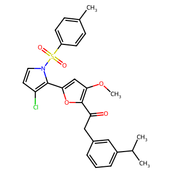 COc1cc(-c2c(Cl)ccn2S(=O)(=O)c2ccc(C)cc2)oc1C(=O)Cc1cccc(C(C)C)c1